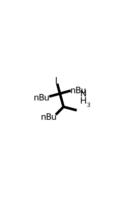 CCCCC(C)C(I)(CCCC)CCCC.N